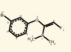 CN(C)C(=CF)Oc1cccc(Br)c1